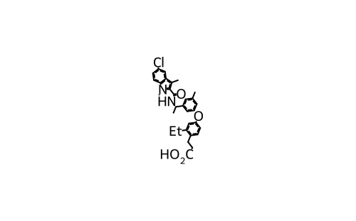 CCc1cc(Oc2cc(C)cc(C(C)NC(=O)c3c(C)c4cc(Cl)ccc4n3C)c2)ccc1CCC(=O)O